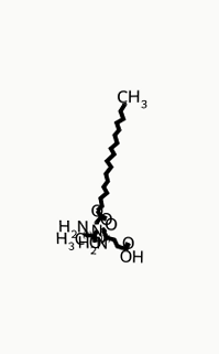 CCCCCCCCCCCCCCCCCCOC(=O)CN(C(=O)[C@H](C)N)C(=O)[C@H](N)CCC(=O)O